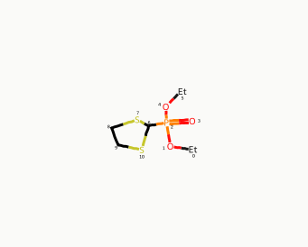 CCOP(=O)(OCC)C1SCCS1